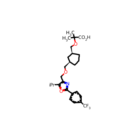 CC(C)c1oc(-c2ccc(C(F)(F)F)cc2)nc1COC[C@@H]1CCC[C@H](COC(C)(C)C(=O)O)C1